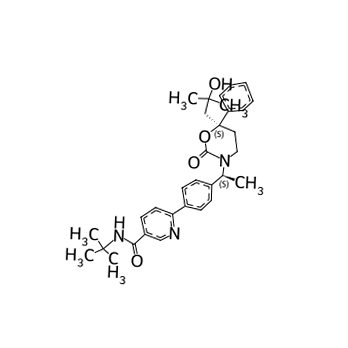 C[C@@H](c1ccc(-c2ccc(C(=O)NC(C)(C)C)cn2)cc1)N1CC[C@](CC(C)(C)O)(c2ccccc2)OC1=O